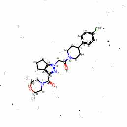 C[C@@H]1CN(C(=O)c2nn(CC(=O)N3CCC(c4ccc(F)cc4)CC3)c3c2CCC3)C[C@H](C)O1